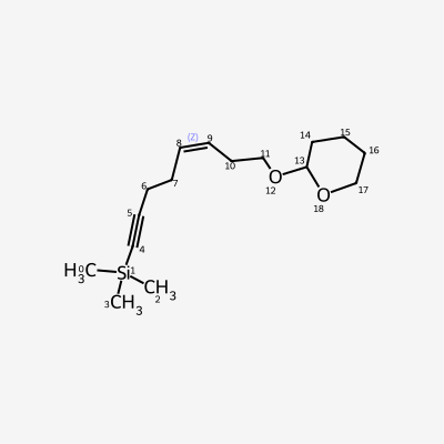 C[Si](C)(C)C#CCC/C=C\CCOC1CCCCO1